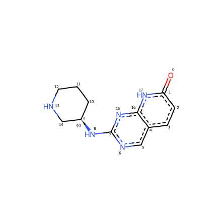 O=c1ccc2cnc(N[C@@H]3CCCNC3)nc2[nH]1